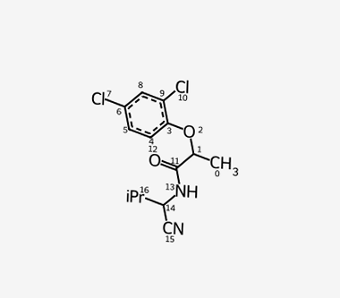 CC(Oc1ccc(Cl)cc1Cl)C(=O)NC(C#N)C(C)C